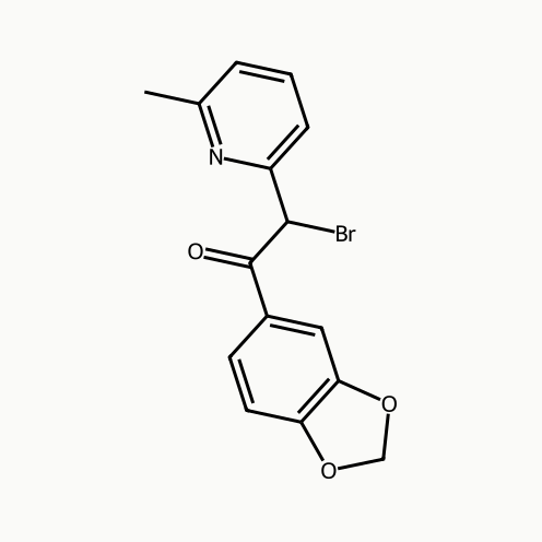 Cc1cccc(C(Br)C(=O)c2ccc3c(c2)OCO3)n1